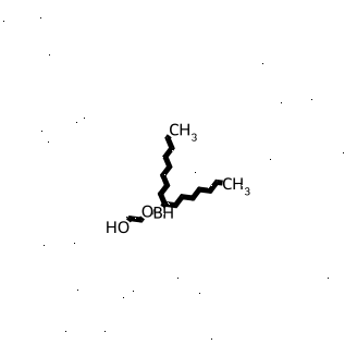 CCCCCCCCC(BOCCO)CCCCCCC